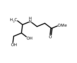 COC(=O)CCNC(C)C(O)CO